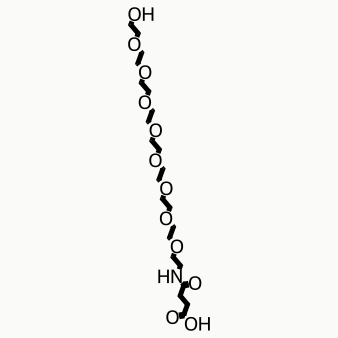 O=C(O)CCC(=O)NCCOCCOCCOCCOCCOCCOCCOCCOCCO